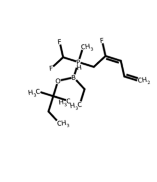 C=C/C=C(/F)C[PH](C)(B(CC)OC(C)(C)CC)C(F)F